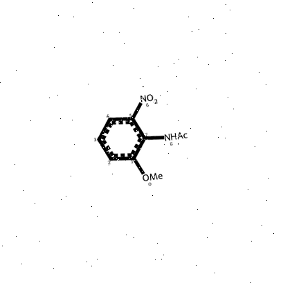 COc1cccc([N+](=O)[O-])c1NC(C)=O